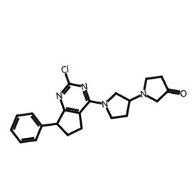 O=C1CCN(C2CCN(c3nc(Cl)nc4c3CCC4c3ccccc3)C2)C1